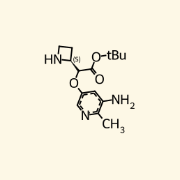 Cc1ncc(OC(C(=O)OC(C)(C)C)[C@@H]2CCN2)cc1N